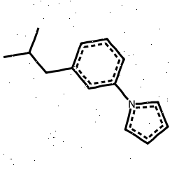 CC(C)Cc1cccc(-n2cccc2)c1